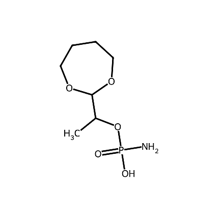 CC(OP(N)(=O)O)C1OCCCCO1